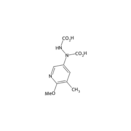 COc1ncc(N(NC(=O)O)C(=O)O)cc1C